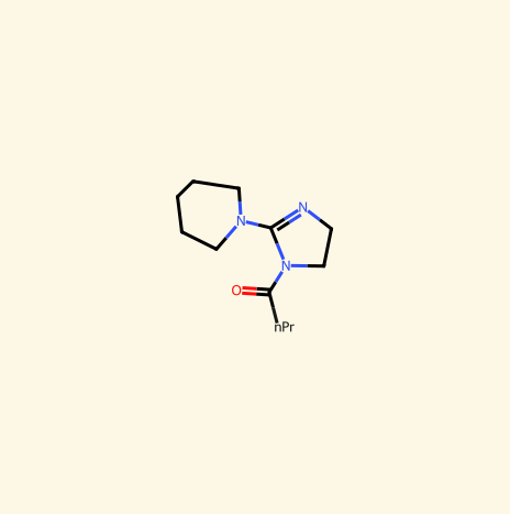 CCCC(=O)N1CCN=C1N1CCCCC1